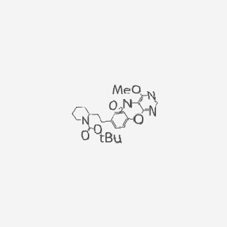 COc1ncnc(Oc2ccc(CCC3CCCCN3C(=O)OC(C)(C)C)cc2)c1[N+](=O)[O-]